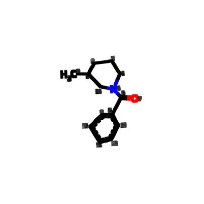 CC1CCCN(C(=O)c2ccccc2)C1